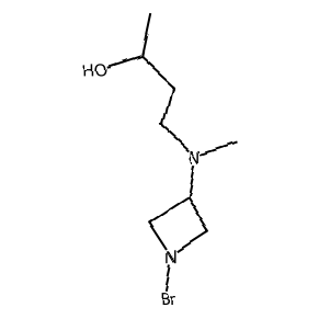 CC(O)CCN(C)C1CN(Br)C1